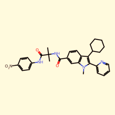 Cn1c(-c2ccccn2)c(C2CCCCC2)c2ccc(C(=O)NC(C)(C)C(=O)Nc3ccc([N+](=O)[O-])cc3)cc21